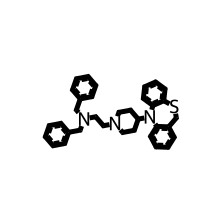 c1ccc(CN(CCN2CCC(N3c4ccccc4CSc4ccccc43)CC2)Cc2ccccc2)cc1